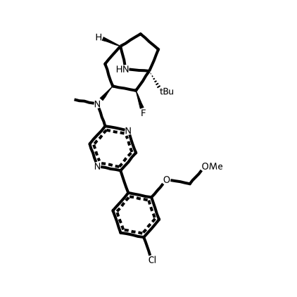 COCOc1cc(Cl)ccc1-c1cnc(N(C)[C@H]2C[C@@H]3CC[C@](C(C)(C)C)(N3)[C@H]2F)cn1